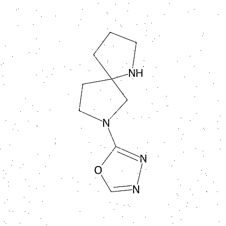 c1nnc(N2CCC3(CCCN3)C2)o1